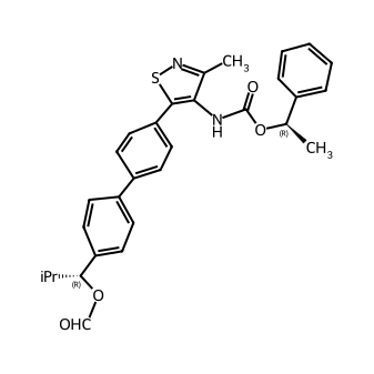 Cc1nsc(-c2ccc(-c3ccc([C@H](OC=O)C(C)C)cc3)cc2)c1NC(=O)O[C@H](C)c1ccccc1